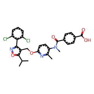 Cc1nc(OCc2c(-c3c(Cl)cccc3Cl)noc2C(C)C)ccc1N(C)C(=O)c1ccc(C(=O)O)cc1